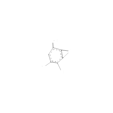 Oc1cc(Cl)c(Cl)c2c1S2